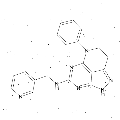 c1ccc(N2CCc3n[nH]c4nc(NCc5cccnc5)nc2c34)cc1